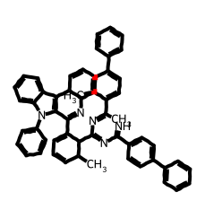 C/C(=N\C(=N/C(=N)c1ccc(-c2ccccc2)cc1)C1C(C2=NC3C=CC=CC3c3c2n(-c2ccccc2)c2ccccc32)=CC=CC1C)C1=CC=C(c2ccccc2)CC1C